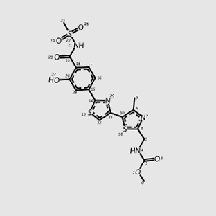 COC(=O)NCc1nc(C)c(-c2csc(-c3ccc(C(=O)NS(C)(=O)=O)c(O)c3)n2)s1